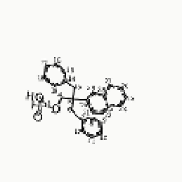 O=[PH](O)OCC(Cc1ccccc1)(Cc1ccccc1)c1ccc2ccccc2c1